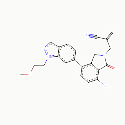 C=C(C#N)CN1Cc2c(-c3ccc4cnn(CCOC)c4c3)ccc(N)c2C1=O